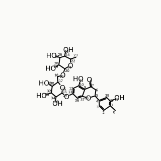 Cc1ccc(C2CC(=O)c3c(O)cc(OC4OC(COC5OC(C)C(O)C(O)C5O)C(O)C(O)C4O)cc3O2)cc1O